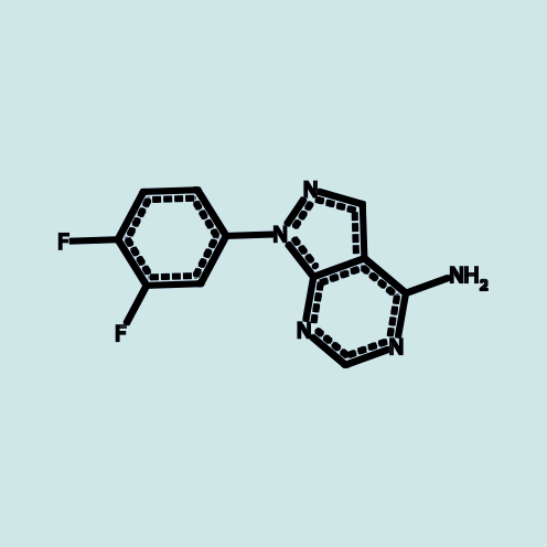 Nc1ncnc2c1cnn2-c1ccc(F)c(F)c1